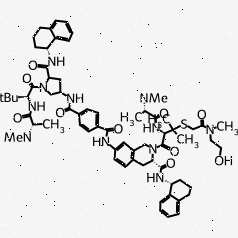 CN[C@@H](C)C(=O)N[C@H](C(=O)N1CC(NC(=O)c2ccc(C(=O)Nc3ccc4c(c3)CN(C(=O)[C@@H](NC(=O)[C@H](C)NC)C(C)(C)SCC(=O)N(C)CCO)[C@H](C(=O)N[C@@H]3CCCc5ccccc53)C4)cc2)CC1C(=O)N[C@@H]1CCCc2ccccc21)C(C)(C)C